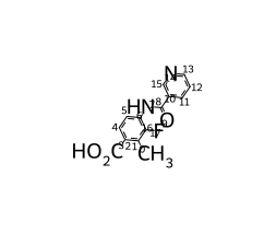 Cc1c(C(=O)O)ccc(NC(=O)c2cccnc2)c1F